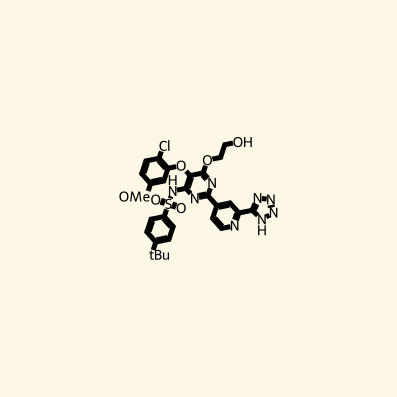 COc1ccc(Cl)c(Oc2c(NS(=O)(=O)c3ccc(C(C)(C)C)cc3)nc(-c3ccnc(-c4nnn[nH]4)c3)nc2OCCO)c1